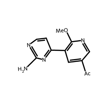 COc1ncc(C(C)=O)cc1-c1ccnc(N)n1